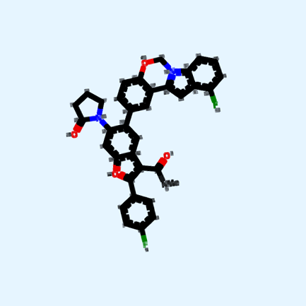 CNC(=O)c1c(-c2ccc(F)cc2)oc2cc(N3CCCC3=O)c(-c3ccc4c(c3)-c3cc5c(F)cccc5n3CO4)cc12